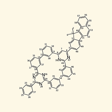 CC1(C)c2cc(-c3cc(-c4cccc(-c5cccc(-c6nc(-c7ccccc7)nc(-c7ccccc7)n6)c5)c4)nc(-c4ccccc4)n3)ccc2-c2ccc3ccccc3c21